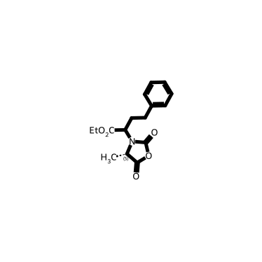 CCOC(=O)C(CCc1ccccc1)N1C(=O)OC(=O)[C@@H]1C